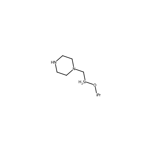 CC(C)O[SiH2]CN1CCNCC1